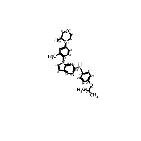 Cc1cc(N2CCOCC2Cl)ccc1-n1ccc2cnc(Nc3ccc(OC(C)C)cc3)nc21